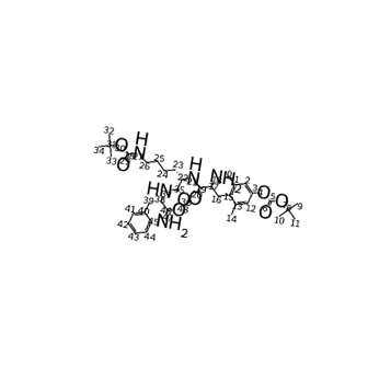 Cc1cc(OC(=O)OC(C)(C)C)cc(C)c1C[C@H](N)C(=O)N[C@@H](CCCCNC(=O)OC(C)(C)C)C(=O)N[C@@H](Cc1ccccc1)C(N)=O